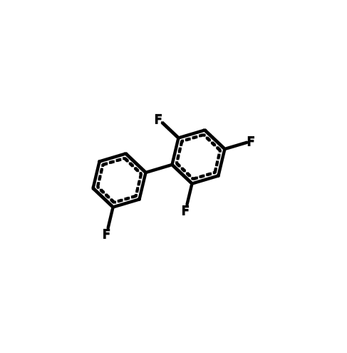 Fc1cccc(-c2c(F)cc(F)cc2F)c1